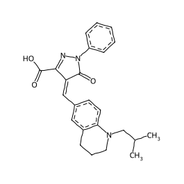 CC(C)CN1CCCc2cc(/C=C3\C(=O)N(c4ccccc4)N=C3C(=O)O)ccc21